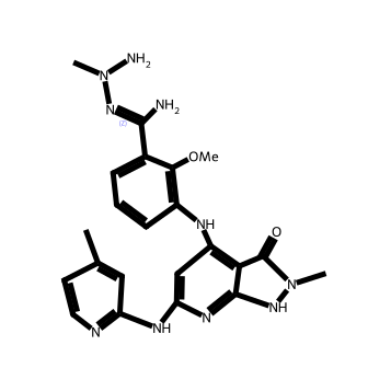 COc1c(Nc2cc(Nc3cc(C)ccn3)nc3[nH]n(C)c(=O)c23)cccc1/C(N)=N/N(C)N